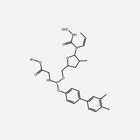 C/C=C\N(C(=O)NC=O)C1OC(COP(NCC(=O)OC(C)C)Oc2ccc(-c3ccc(F)c(C)c3)cc2)CC1C